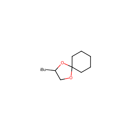 CCC(C)C1COC2(CCCCC2)O1